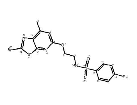 Cc1cc(OCCNS(=O)(=O)c2ccc(F)cc2)nc2sc(Br)nc12